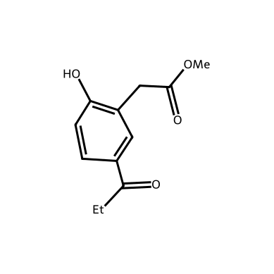 CCC(=O)c1ccc(O)c(CC(=O)OC)c1